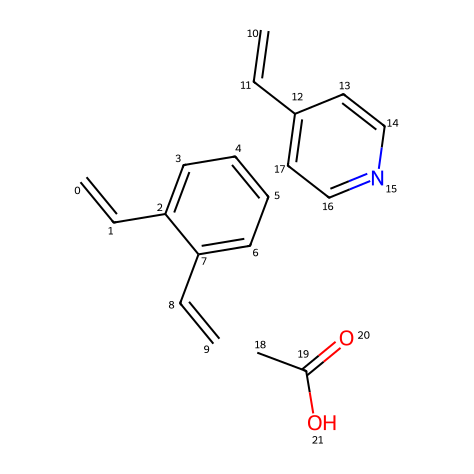 C=Cc1ccccc1C=C.C=Cc1ccncc1.CC(=O)O